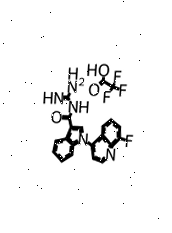 N=C(N)NC(=O)c1cn(-c2ccnc3c(F)cccc23)c2ccccc12.O=C(O)C(F)(F)F